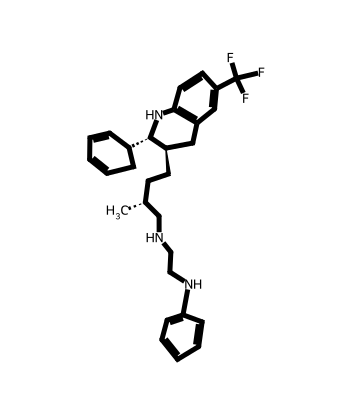 C[C@H](CC[C@@H]1Cc2cc(C(F)(F)F)ccc2N[C@H]1C1C=CC=CC1)CNCCNc1ccccc1